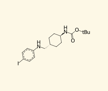 CC(C)(C)OC(=O)N[C@H]1CC[C@H](CNc2ccc(I)cc2)CC1